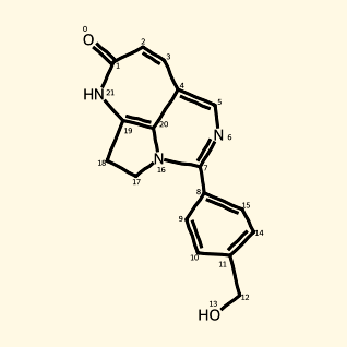 O=C1C=CC2=CN=C(c3ccc(CO)cc3)N3CCC(=C23)N1